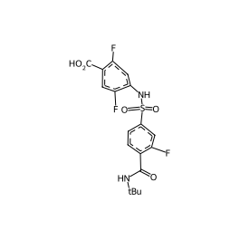 CC(C)(C)NC(=O)c1ccc(S(=O)(=O)Nc2cc(F)c(C(=O)O)cc2F)cc1F